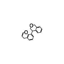 C1=COc2c(cccc2C2COCc3ccccc32)C1